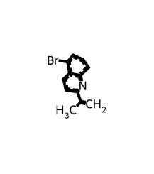 C=C(C)c1ccc2c(Br)cccc2n1